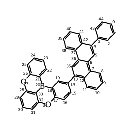 c1ccc(-c2cc3c4ccccc4c(-c4ccc5c(c4)B4c6ccccc6Oc6cccc(c64)O5)cc3c3ccccc23)cc1